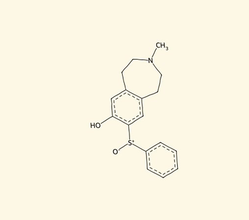 CN1CCc2cc(O)c([S+]([O-])c3ccccc3)cc2CC1